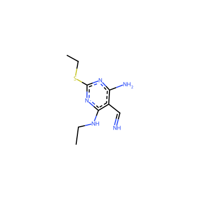 CCNc1nc(SCC)nc(N)c1C=N